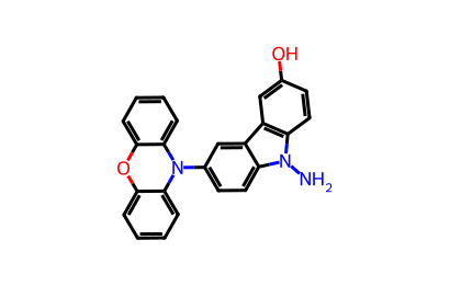 Nn1c2ccc(O)cc2c2cc(N3c4ccccc4Oc4ccccc43)ccc21